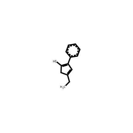 CCC1=CC(c2ccccc2)=[C]([Hf])C1